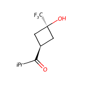 CC(C)C(=O)[C@H]1C[C@](O)(C(F)(F)F)C1